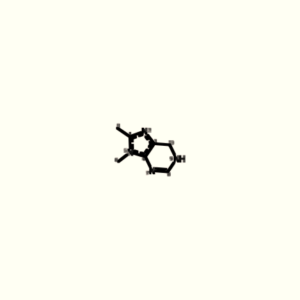 Cc1nc2c(n1C)N=CNC2